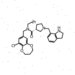 CC(C)CN(Cc1cc(Cl)c2c(c1)OCCCO2)C(=O)[C@@H]1CCN(Cc2cccc3c2NCC3)C1